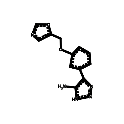 Nc1[nH]nnc1-c1cccc(OCc2cnco2)c1